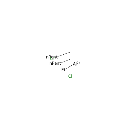 CCCCCC.CCCCCC.C[CH2][Al+2].[Cl-].[Cl-]